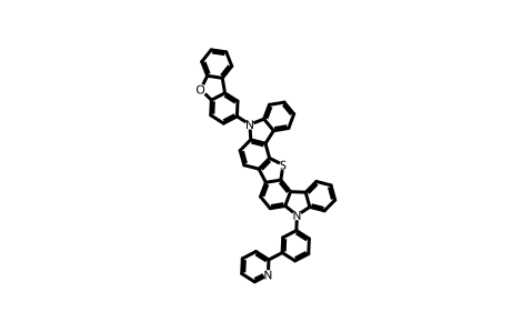 c1ccc(-c2cccc(-n3c4ccccc4c4c5sc6c(ccc7c6c6ccccc6n7-c6ccc7oc8ccccc8c7c6)c5ccc43)c2)nc1